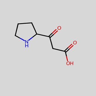 O=C(O)CC(=O)C1CCCN1